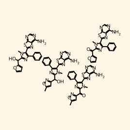 Cc1cc(C(=O)c2nc(-c3ccccc3)c(-c3nc4c(N)ncnc4s3)n2C)no1.Cc1cc(C(O)c2nc(-c3ccccc3)c(-c3nc4c(N)ncnc4s3)n2C)no1.Cn1c(C(=O)c2ccco2)nc(-c2ccccc2)c1-c1nc2c(N)ncnc2s1.Cn1c(C(O)c2ccco2)nc(-c2ccccc2)c1-c1nc2c(N)ncnc2s1